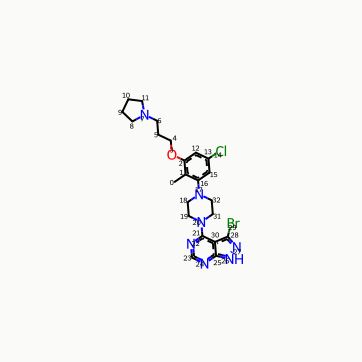 Cc1c(OCCCN2CCCC2)cc(Cl)cc1N1CCN(c2ncnc3[nH]nc(Br)c23)CC1